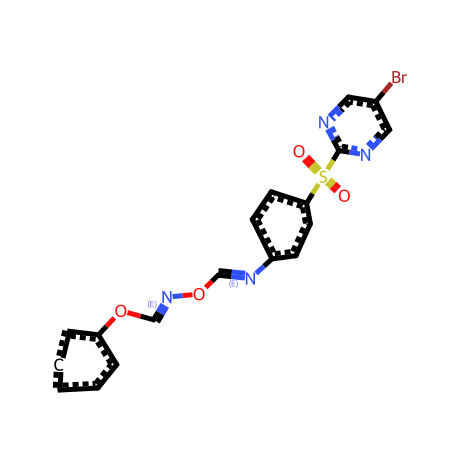 O=S(=O)(c1ccc(/N=C/O/N=C/Oc2ccccc2)cc1)c1ncc(Br)cn1